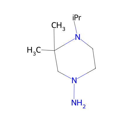 CC(C)N1CCN(N)CC1(C)C